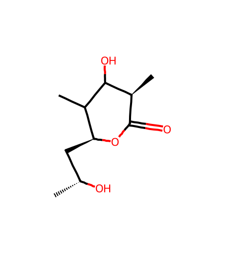 CC1C(O)[C@@H](C)C(=O)O[C@H]1C[C@@H](C)O